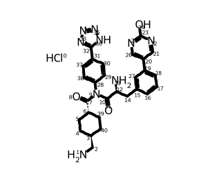 Cl.NC[C@H]1CC[C@H](C(=O)N(C(=O)[C@@H](N)Cc2cccc(-c3cnc(O)nc3)c2)c2ccc(-c3nnn[nH]3)cc2)CC1